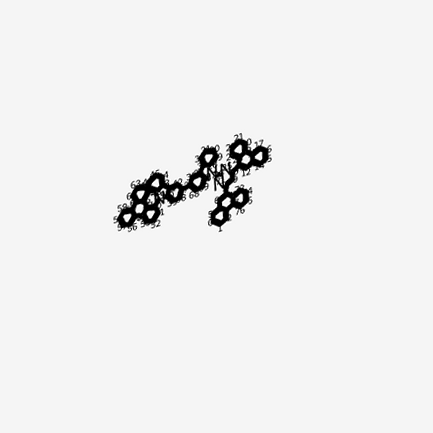 c1ccc2c(c1)cc(-c1cc(-c3cc4ccccc4c4ccccc34)nc(-n3c4ccccc4c4cc(-c5ccc6c(c5)c5ccccc5n6-c5cccc6c7ccccc7c7ccccc7c56)ccc43)n1)c1ccccc12